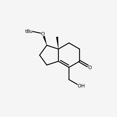 CC(C)(C)O[C@@H]1CCC2=C(CO)C(=O)CC[C@]21C